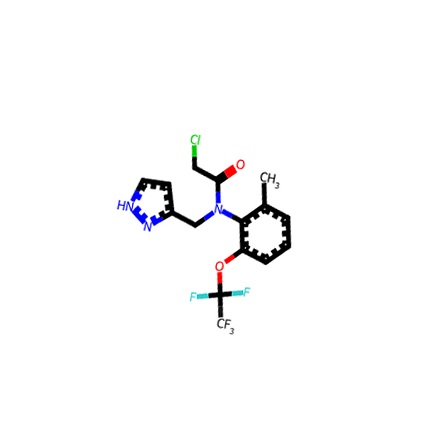 Cc1cccc(OC(F)(F)C(F)(F)F)c1N(Cc1cc[nH]n1)C(=O)CCl